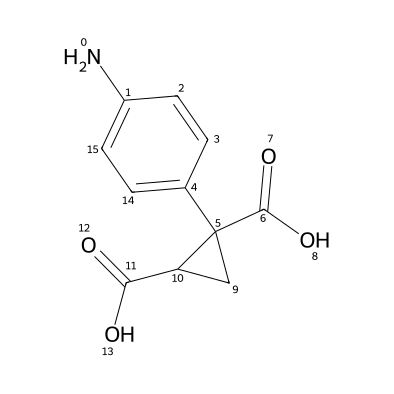 Nc1ccc(C2(C(=O)O)CC2C(=O)O)cc1